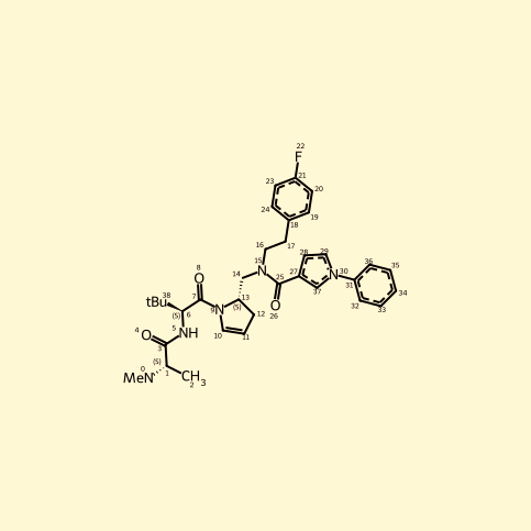 CN[C@@H](C)C(=O)N[C@H](C(=O)N1C=CC[C@H]1CN(CCc1ccc(F)cc1)C(=O)c1ccn(-c2ccccc2)c1)C(C)(C)C